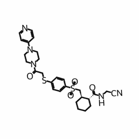 N#CCNC(=O)[C@@H]1CCCC[C@H]1CS(=O)(=O)c1ccc(SCC(=O)N2CCN(c3ccncc3)CC2)cc1